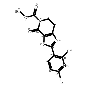 CC(C)(C)OC(=O)N1CCc2nc(-c3ccc(I)nc3F)sc2C1=O